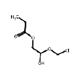 CCC(=O)OCC(O)OCCl